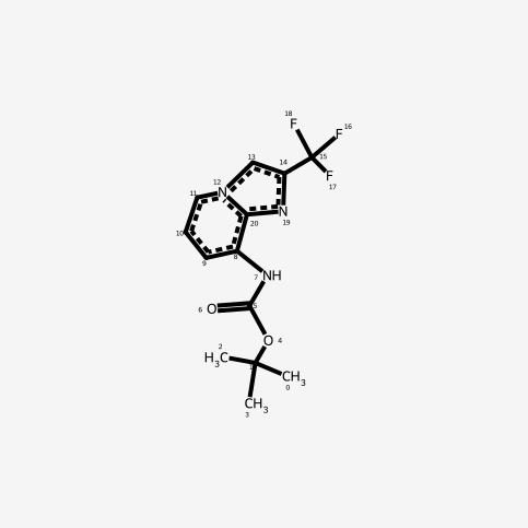 CC(C)(C)OC(=O)Nc1cccn2cc(C(F)(F)F)nc12